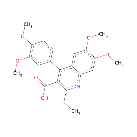 CCc1nc2cc(OC)c(OC)cc2c(-c2ccc(OC)c(OC)c2)c1C(=O)O